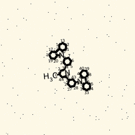 Cc1cc(-c2cccc(-n3c4ccccc4c4ccccc43)c2)nc(-c2cccc(-n3c4ccccc4c4ccccc43)c2)c1